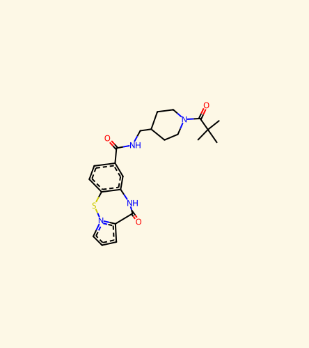 CC(C)(C)C(=O)N1CCC(CNC(=O)c2ccc3c(c2)NC(=O)c2cccn2S3)CC1